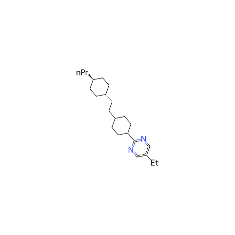 CCC[C@H]1CC[C@H](CCC2CCC(c3ncc(CC)cn3)CC2)CC1